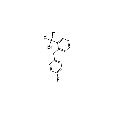 Fc1ccc(Cc2ccccc2C(F)(F)Br)cc1